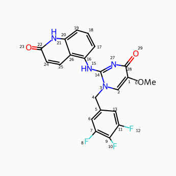 COc1cn(Cc2cc(F)c(F)c(F)c2)c(Nc2cccc3[nH]c(=O)ccc23)nc1=O